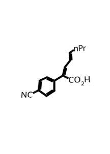 CCCC=CC=C(C(=O)O)c1ccc(C#N)cc1